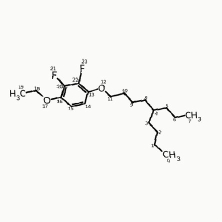 CCCCC(CCC)CCCCOc1ccc(OCC)c(F)c1F